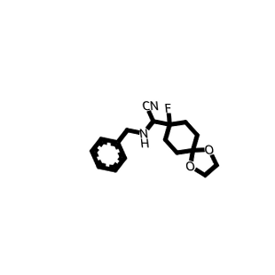 N#CC(NCc1ccccc1)C1(F)CCC2(CC1)OCCO2